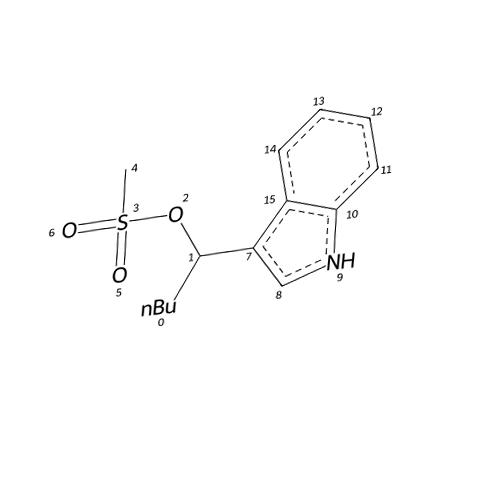 CCCCC(OS(C)(=O)=O)c1c[nH]c2ccccc12